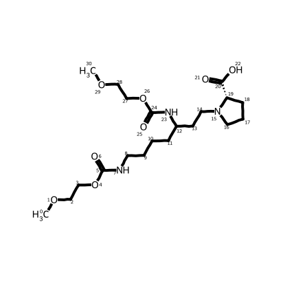 COCCOC(=O)NCCCCC(CCN1CCC[C@H]1C(=O)O)NC(=O)OCCOC